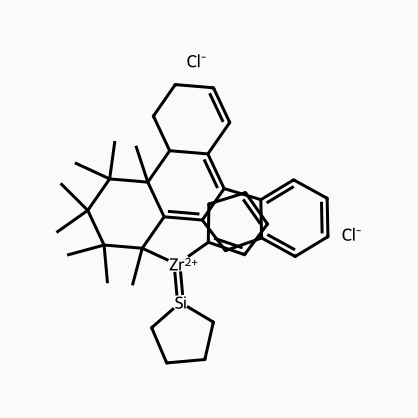 CC12C(=C3Cc4ccccc4C3=C3C=CCCC31)[C](C)([Zr+2]([C]1=CC=CC1)=[Si]1CCCC1)C(C)(C)C(C)(C)C2(C)C.[Cl-].[Cl-]